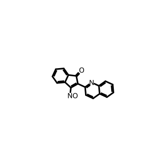 O=NC1=C(c2ccc3ccccc3n2)C(=O)c2ccccc21